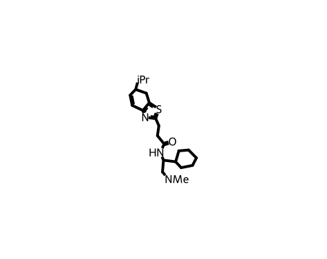 CNCC(NC(=O)CCc1nc2c(s1)CC(C(C)C)C=C2)C1CCCCC1